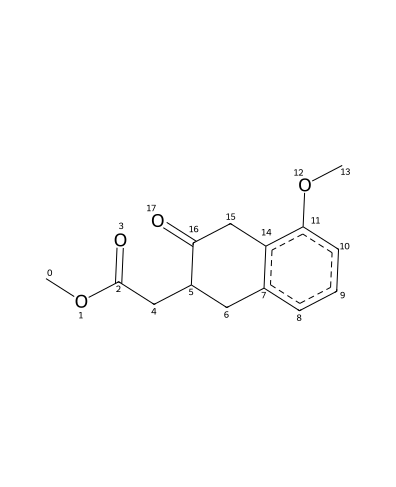 COC(=O)CC1Cc2cccc(OC)c2CC1=O